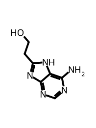 Nc1ncnc2nc(CCO)[nH]c12